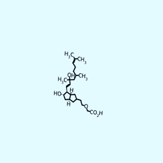 CC(C)=CCCC(C)CC(C)(O)C=C[C@H]1[C@@H]2CC(CCOCC(=O)O)C[C@H]2C[C@@H]1O